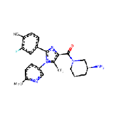 COc1ccc(-n2c(-c3ccc(C#N)c(F)c3)nc(C(=O)N3CCC[C@H](N)C3)c2C(F)(F)F)cn1